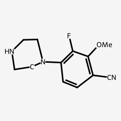 COc1c(C#N)ccc(N2CCNCC2)c1F